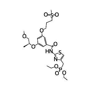 CCOP(=O)(Cc1csc(NC(=O)c2cc(OCCCS(C)(=O)=O)cc(O[C@@H](C)COC)c2)n1)OCC